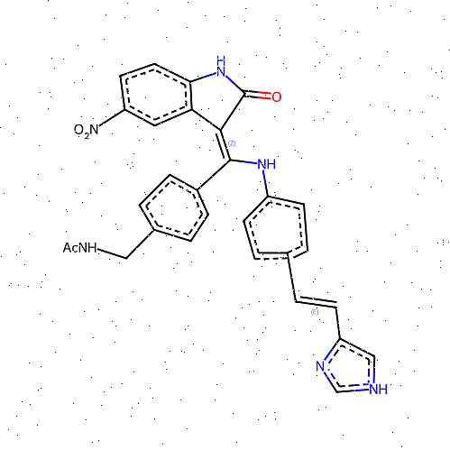 CC(=O)NCc1ccc(/C(Nc2ccc(/C=C/c3c[nH]cn3)cc2)=C2/C(=O)Nc3ccc([N+](=O)[O-])cc32)cc1